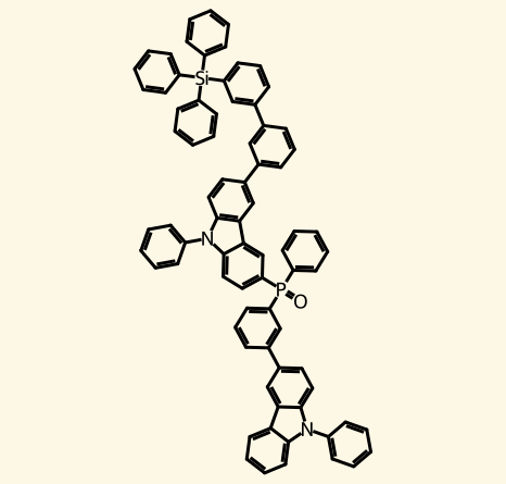 O=P(c1ccccc1)(c1cccc(-c2ccc3c(c2)c2ccccc2n3-c2ccccc2)c1)c1ccc2c(c1)c1cc(-c3cccc(-c4cccc([Si](c5ccccc5)(c5ccccc5)c5ccccc5)c4)c3)ccc1n2-c1ccccc1